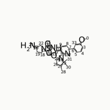 COc1cccc(-c2ccc(C(=O)NS(=O)(=O)N3CC[C@H](N)C3)c(N3CCC(C)C3(C)C)n2)c1